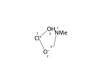 CNC.[O-][Cl+]O